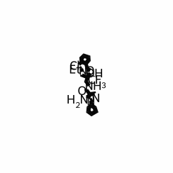 CCN(CC(O)(CNC(=O)c1cnn(-c2ccccc2)c1N)C(F)(F)F)C(=O)c1ccccc1Cl